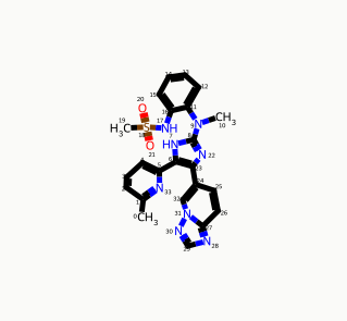 Cc1cccc(-c2[nH]c(N(C)c3ccccc3NS(C)(=O)=O)nc2-c2ccc3ncnn3c2)n1